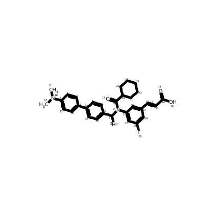 [2H]C(c1ccc(-c2ccc(N(C)C)cc2)cc1)N(C(=O)C1CCCCC1)c1cc(F)cc(/C=C/C(=O)O)c1